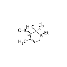 CC[C@H]1CC=C(C)[C@@H](C=O)C1(C)C